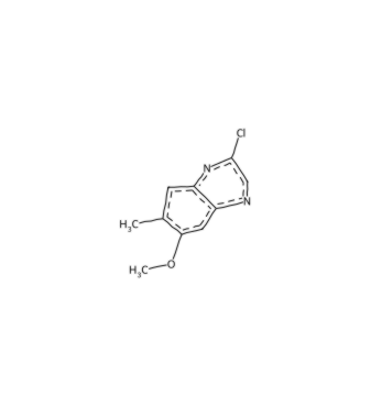 COc1cc2ncc(Cl)nc2cc1C